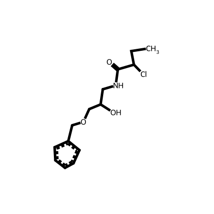 CCC(Cl)C(=O)NCC(O)COCc1ccccc1